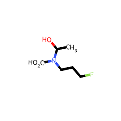 CC(O)N(CCCF)C(=O)O